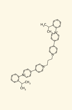 CC(C)c1ccccc1-[n+]1ccc(-c2cc[n+](CCC[n+]3ccc(-c4cc[n+](-c5ccccc5C(C)C)cc4)cc3)cc2)cc1